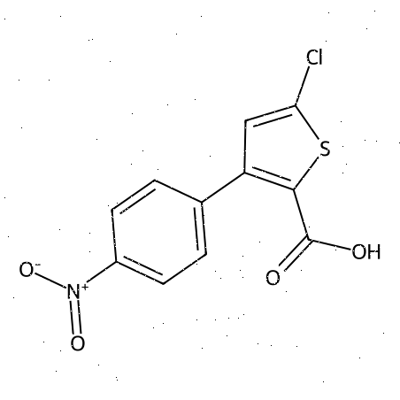 O=C(O)c1sc(Cl)cc1-c1ccc([N+](=O)[O-])cc1